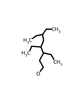 CCC(CC)CC(CC)C(CC)CC[O]